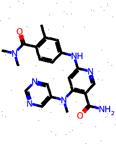 Cc1cc(Nc2cc(N(C)c3cncnc3)c(C(N)=O)cn2)ccc1C(=O)N(C)C